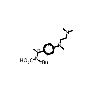 C[C@@H](c1ccc(N(C)CCN(C)C)cc1)N(C(=O)O)C(C)(C)C